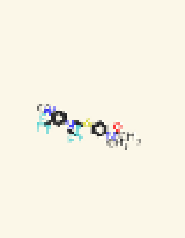 [C-]#[N+]c1ccc(N(CCSc2ccc(N(C)C(C)=O)cc2)CC(F)(F)F)cc1C(F)(F)F